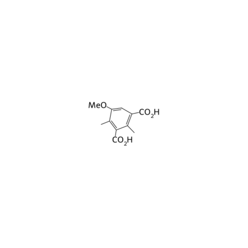 COc1cc(C(=O)O)c(C)c(C(=O)O)c1C